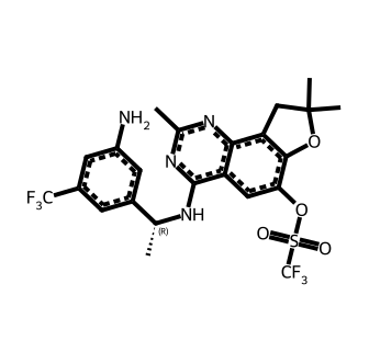 Cc1nc(N[C@H](C)c2cc(N)cc(C(F)(F)F)c2)c2cc(OS(=O)(=O)C(F)(F)F)c3c(c2n1)CC(C)(C)O3